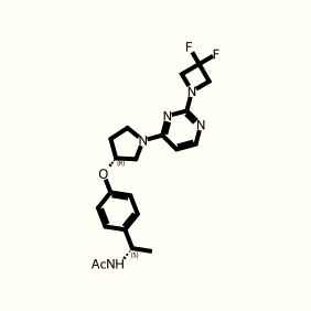 CC(=O)N[C@@H](C)c1ccc(O[C@@H]2CCN(c3ccnc(N4CC(F)(F)C4)n3)C2)cc1